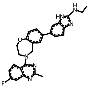 CCNc1nc2ccc(-c3ccc4c(c3)CN(c3nc(C)nc5cc(F)ccc35)CCO4)cc2[nH]1